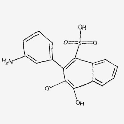 Nc1cccc(-c2c(Cl)c(O)c3ccccc3c2S(=O)(=O)O)c1